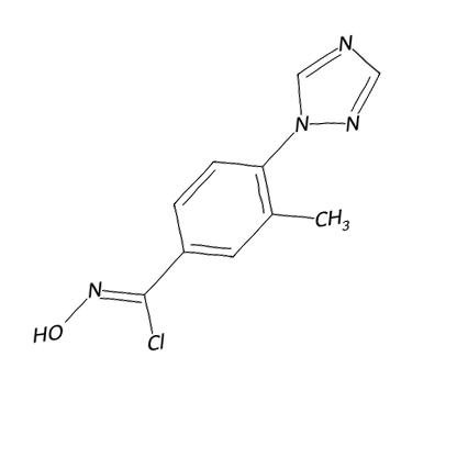 Cc1cc(C(Cl)=NO)ccc1-n1cncn1